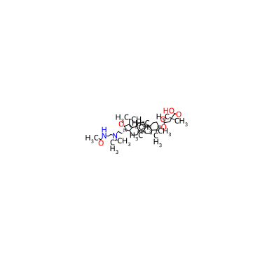 CC(=O)NCCN(CC[C@@H]1C(=O)C(C(C)C)=C2C1CC[C@]1(C)[C@@H]2CCC2[C@@]3(C)CC[C@H](OC(=O)CC(C)(C)C(=O)O)C(C)(C)C3CC[C@]21C)C(C)C